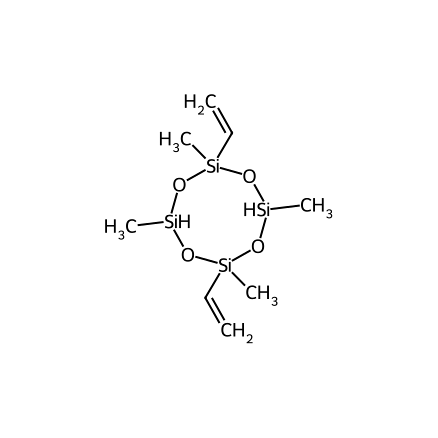 C=C[Si]1(C)O[SiH](C)O[Si](C)(C=C)O[SiH](C)O1